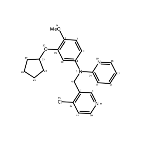 COc1ccc(N(Cc2cnccc2Cl)c2ccccn2)cc1OC1CCCC1